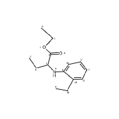 CCOC(=O)C(CC)Nc1ccccc1CC